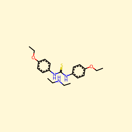 CCNCC.CCOc1ccc(NC(=S)Nc2ccc(OCC)cc2)cc1